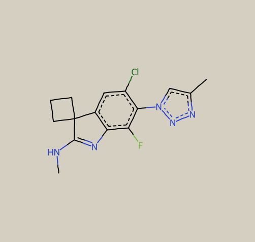 CNC1=Nc2c(cc(Cl)c(-n3cc(C)nn3)c2F)C12CCC2